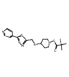 CC(C)(C)C(=O)ON1CCC(OCc2nnc(-c3ccncc3)s2)CC1